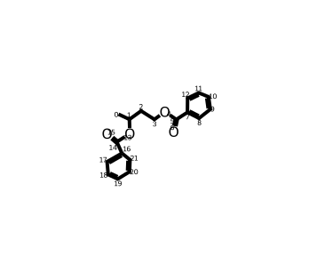 CC(CCOC(=O)c1ccccc1)OC(=O)c1ccccc1